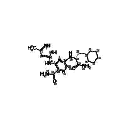 CC(=N)/C=C(\S)Nc1nc(N[C@H](CC2CCCCC2)C(N)=O)cnc1C(N)=O